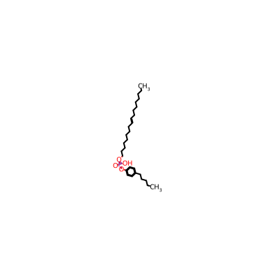 CCCCCCCCC=CCCCCCCCCOP(=O)(O)Oc1ccc(CCCCC)cc1